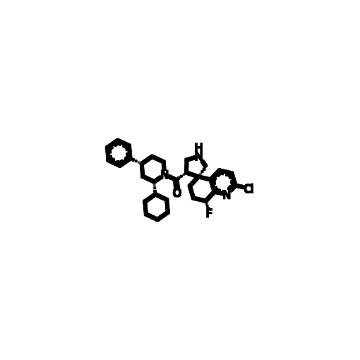 O=C([C@@H]1CNC[C@]12CC[C@@H](F)c1nc(Cl)ccc12)N1CC[C@@H](c2ccccc2)C[C@H]1C1CCCCC1